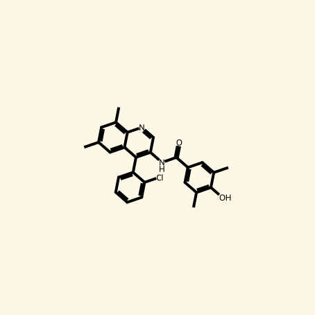 Cc1cc(C)c2ncc(NC(=O)c3cc(C)c(O)c(C)c3)c(-c3ccccc3Cl)c2c1